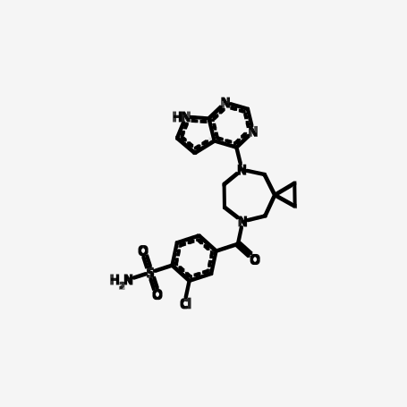 NS(=O)(=O)c1ccc(C(=O)N2CCN(c3ncnc4[nH]ccc34)CC3(CC3)C2)cc1Cl